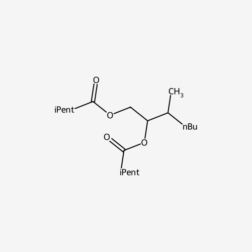 CCCCC(C)C(COC(=O)C(C)CCC)OC(=O)C(C)CCC